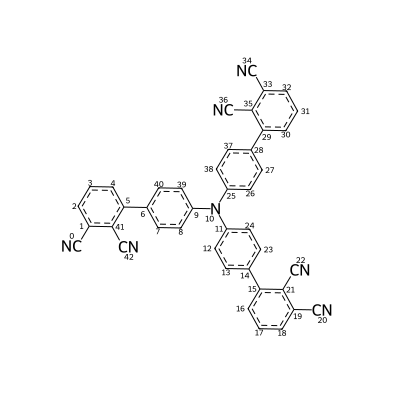 N#Cc1cccc(-c2ccc(N(c3ccc(-c4cccc(C#N)c4C#N)cc3)c3ccc(-c4cccc(C#N)c4C#N)cc3)cc2)c1C#N